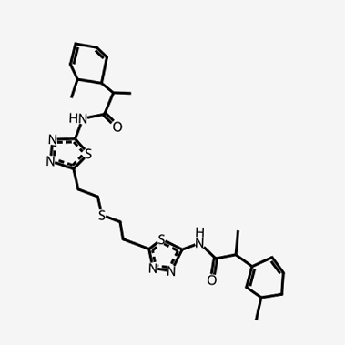 CC1C=C(C(C)C(=O)Nc2nnc(CCSCCc3nnc(NC(=O)C(C)C4C=CC=CC4C)s3)s2)C=CC1